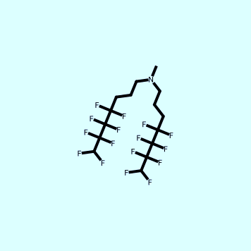 CN(CCCC(F)(F)C(F)(F)C(F)(F)C(F)F)CCCC(F)(F)C(F)(F)C(F)(F)C(F)F